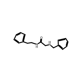 O=C(CNCc1ccccc1)NCCc1ccccc1